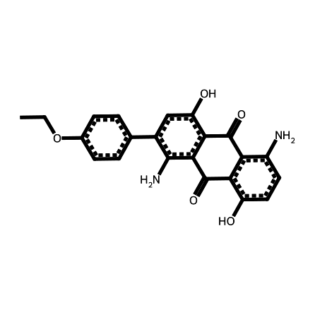 CCOc1ccc(-c2cc(O)c3c(c2N)C(=O)c2c(O)ccc(N)c2C3=O)cc1